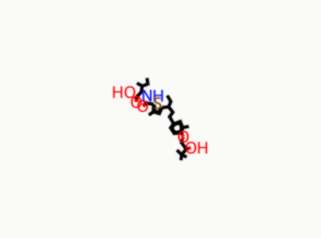 CCC(CCc1ccc(OCC(O)C(C)(C)C)c(C)c1)c1cc(C)c(C(=O)NC(C(=O)O)C(C)CC)s1